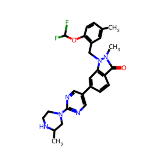 Cc1ccc(OC(F)F)c(Cn2c3cc(-c4cnc(N5CCNC(C)C5)nc4)ccc3c(=O)n2C)c1